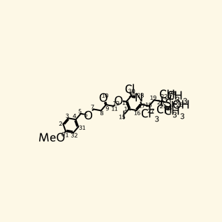 COc1ccc(COCCC(=O)COc2c(I)cc(C(CC(C)(C)[Si](C)(C)O)C(F)(F)F)nc2Cl)cc1